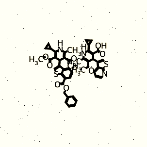 CC(=O)C1=C(C)NC(C2CC2)=C(C(=O)O)C1c1csc2ncccc12.COC(=O)C1=C(C2CC2)NC(C)=C(C(C)=O)C1c1csc2c(C(=O)OCc3ccccc3)cccc12